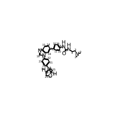 CN(C)CCNC(=O)Nc1ccc(-c2ccc3ncn(-c4ccc(N5C[C@@H]6C[C@H]5CO6)cc4)c3c2)cc1